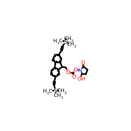 C[Si](C)(C)C#Cc1ccc2c(c1)C(COC(=O)ON1C(=O)CCC1O)c1cc(C#C[Si](C)(C)C)ccc1-2